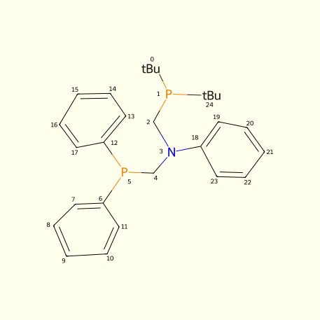 CC(C)(C)P(CN(CP(c1ccccc1)c1ccccc1)c1ccccc1)C(C)(C)C